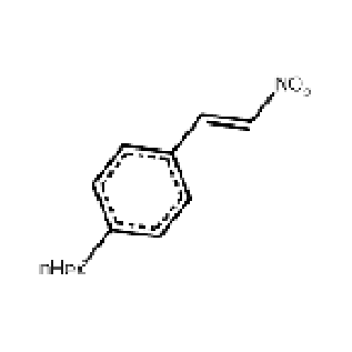 CCCCCCc1ccc(C=C[N+](=O)[O-])cc1